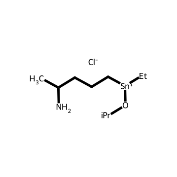 C[CH2][Sn+]([CH2]CCC(C)N)[O]C(C)C.[Cl-]